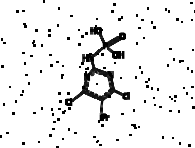 CC(C)c1c(Cl)nc(NP(=O)(O)O)nc1Cl